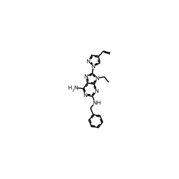 C=Cc1cnn(-c2nc3c(N)nc(NCc4ccccc4)nc3n2CC)c1